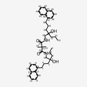 CCCC(O)(CCCc1cccc2ccccc12)CNC(=O)C(C)(C)C(=O)NCC(O)(CCC)CCCc1cccc2ccccc12